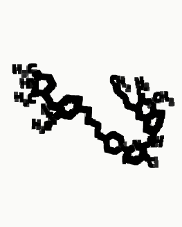 C=CCCC1=Cc2cc(Nc3nc(N4CCC(CCCCc5ccc6c(C7CCC(=C)NC7=C)nn(C)c6c5)CC4)ncc3Cl)ccc2N(C)C1=C